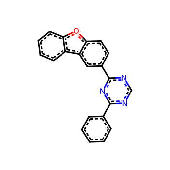 c1ccc(-c2ncnc(-c3ccc4oc5ccccc5c4c3)n2)cc1